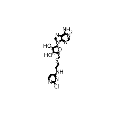 Nc1ncnc2c1ncn2[C@H]1O[C@@H](CSCCNc2ccnc(Cl)n2)[C@H](O)[C@@H]1O